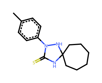 Cc1ccc(N2NC3(CCCCCC3)NC2=S)cc1